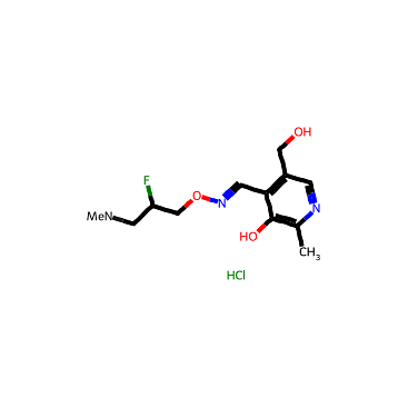 CNCC(F)CO/N=C/c1c(CO)cnc(C)c1O.Cl